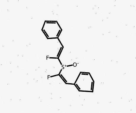 [O-][S+](C(F)=Cc1ccccc1)C(F)=Cc1ccccc1